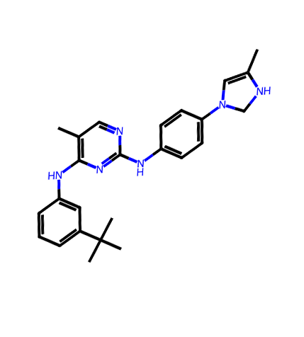 CC1=CN(c2ccc(Nc3ncc(C)c(Nc4cccc(C(C)(C)C)c4)n3)cc2)CN1